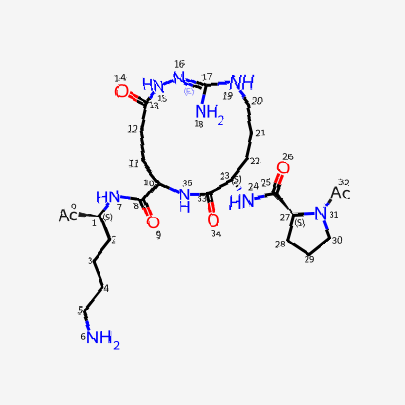 CC(=O)[C@H](CCCCN)NC(=O)C1CCC(=O)N/N=C(\N)NCCC[C@H](NC(=O)[C@@H]2CCCN2C(C)=O)C(=O)N1